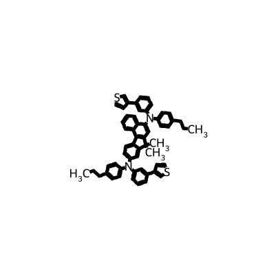 CCCc1ccc(N(c2cccc(-c3ccsc3)c2)c2ccc3c(c2)C(C)(C)c2cc(N(c4ccc(CCC)cc4)c4cccc(-c5ccsc5)c4)c4ccccc4c2-3)cc1